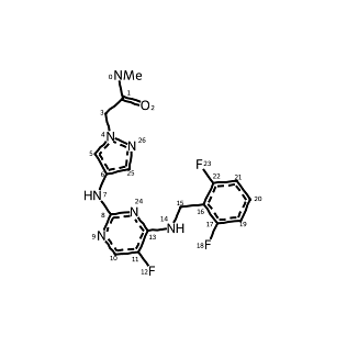 CNC(=O)Cn1cc(Nc2ncc(F)c(NCc3c(F)cccc3F)n2)cn1